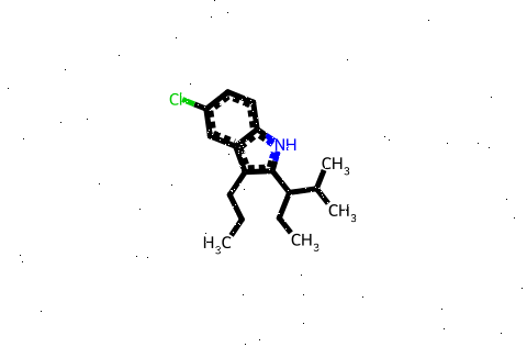 CCCc1c(C(CC)C(C)C)[nH]c2ccc(Cl)cc12